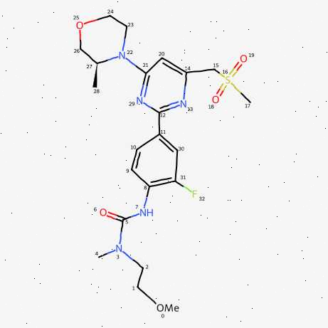 COCCN(C)C(=O)Nc1ccc(-c2nc(CS(C)(=O)=O)cc(N3CCOC[C@@H]3C)n2)cc1F